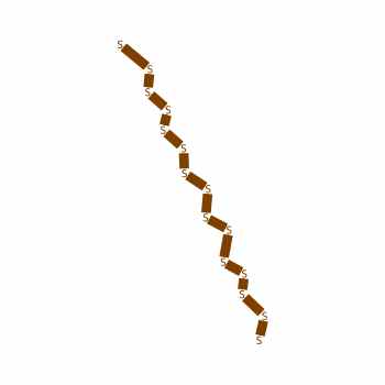 S=S=S=S=S=S=S=S=S=S=S=S=S=S=S